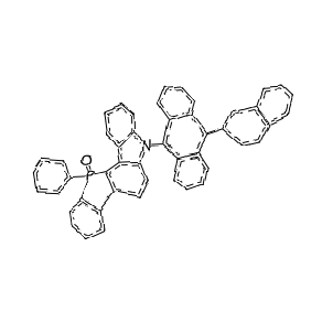 O=P1(c2ccccc2)c2ccccc2-c2ccc3c(c21)c1ccccc1n3-c1c2ccccc2c(-c2ccc3ccccc3c2)c2ccccc12